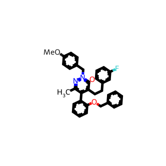 COc1ccc(Cn2nc(C)c(-c3ccccc3OCc3ccccc3)c(CCc3cccc(F)c3)c2=O)cc1